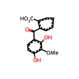 COc1c(O)ccc(C(=O)c2ccccc2C(=O)O)c1O